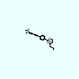 CCCC1OC2(c3ccc(C#CC#C[Si](C)(C)C)cc3)OCC1CO2